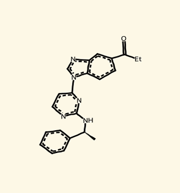 CCC(=O)c1ccc2c(c1)ncn2-c1ccnc(N[C@@H](C)c2ccccc2)n1